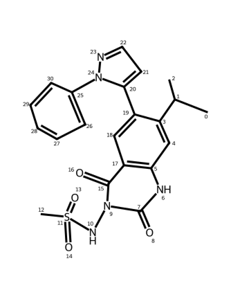 CC(C)c1cc2[nH]c(=O)n(NS(C)(=O)=O)c(=O)c2cc1-c1ccnn1-c1ccccc1